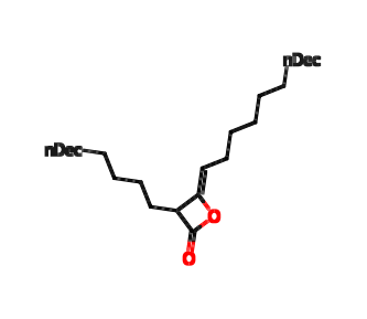 CCCCCCCCCCCCCCCC=C1OC(=O)C1CCCCCCCCCCCCCC